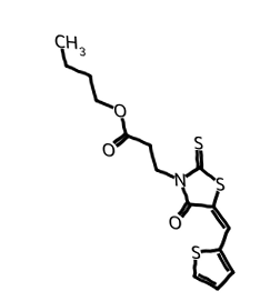 CCCCOC(=O)CCN1C(=O)/C(=C\c2cccs2)SC1=S